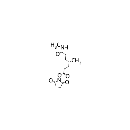 CNC(=O)CCC(C)CCC(=O)ON1C(=O)CCC1=O